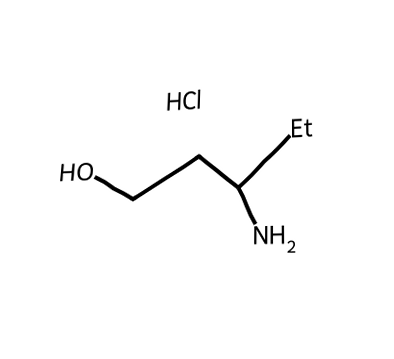 CCC(N)CCO.Cl